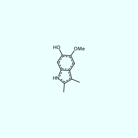 COc1cc2c(C)c(C)[nH]c2cc1O